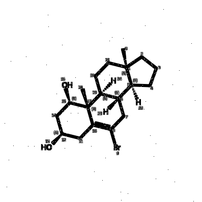 C[C@@]12CCC[C@H]1[C@@H]1CC(Br)=C3C[C@@H](O)C[C@@H](O)[C@]3(C)[C@H]1CC2